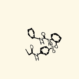 CCC(=O)Nc1ccc(S(=O)(=O)Oc2ccccc2NC(=O)Nc2ccccc2)cc1